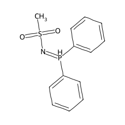 CS(=O)(=O)N=[PH](c1ccccc1)c1ccccc1